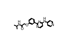 CC(C)NC(=O)COc1cccc(-c2nccc(Nc3ccncc3)n2)c1